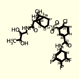 CC(O)C(O)CNC(=O)C[C@@]1(O)C2C[C@@H](S(=O)(=O)c3cc(C(=O)Nc4cc(F)c(F)c(F)c4)ccc3Cl)CC1[C@@H](C)C2